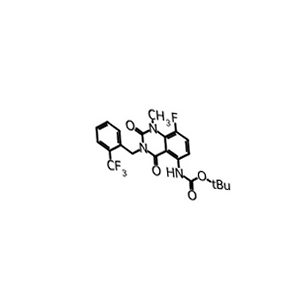 Cn1c(=O)n(Cc2ccccc2C(F)(F)F)c(=O)c2c(NC(=O)OC(C)(C)C)ccc(F)c21